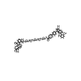 COc1cccc(F)c1-c1ncc2[nH]nc(-c3ccc(N4CCN(C(=O)CCOCCOCCOCCOCCOCCNc5cccc6c5C(=O)N(C5CCC(=O)NC5=O)C6=O)CC4)cc3)c2n1